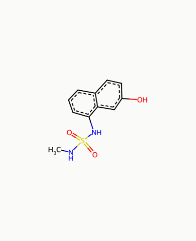 CNS(=O)(=O)Nc1cccc2ccc(O)cc12